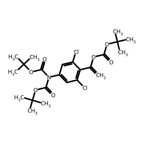 C=C(OC(=O)OC(C)(C)C)c1c(Cl)cc(N(C(=O)OC(C)(C)C)C(=O)OC(C)(C)C)cc1Cl